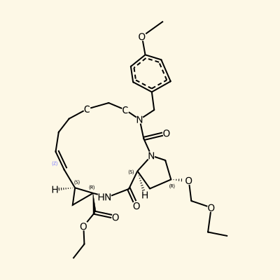 CCOCO[C@@H]1C[C@H]2C(=O)N[C@]3(C(=O)OCC)C[C@H]3/C=C\CCCCCN(Cc3ccc(OC)cc3)C(=O)N2C1